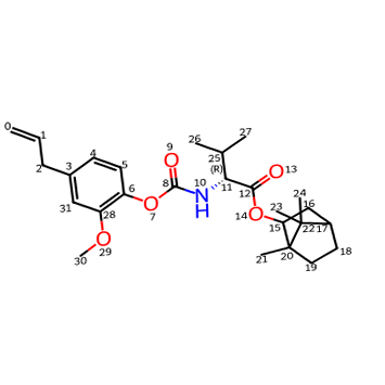 C=CCc1ccc(OC(=O)N[C@@H](C(=O)OC2CC3CCC2(C)C3(C)C)C(C)C)c(OC)c1